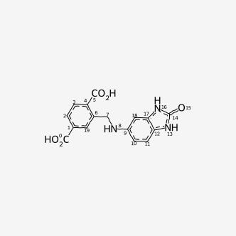 O=C(O)c1ccc(C(=O)O)c(CNc2ccc3[nH]c(=O)[nH]c3c2)c1